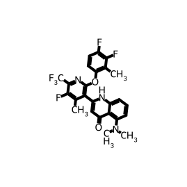 Cc1c(Oc2nc(C(F)(F)F)c(F)c(C)c2-c2cc(=O)c3c(N(C)C)cccc3[nH]2)ccc(F)c1F